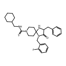 O=C1C(Cc2ccccc2)NC2(CCN(C(=S)NCC3CCCCC3)CC2)N1Cc1ccccc1F